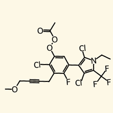 CCn1c(Cl)c(-c2cc(OOC(C)=O)c(Cl)c(CC#CCOC)c2F)c(Cl)c1C(F)(F)F